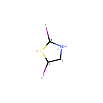 IC1CNC(I)S1